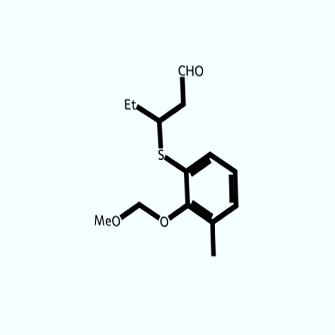 CCC(CC=O)Sc1cccc(C)c1OCOC